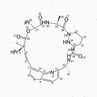 CCC[C@]1(C)/C=C/c2ccc3ccc(nc3c2)[C@@H](C)NC(=O)[C@@H]2CCCN(N2)C(=O)[C@H](C)NC(=O)C(C(C)C)OC1=O